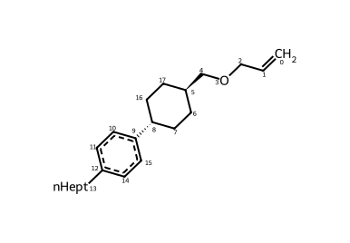 C=CCOC[C@H]1CC[C@H](c2ccc(CCCCCCC)cc2)CC1